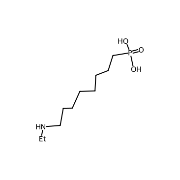 CCNCCCCCCCCP(=O)(O)O